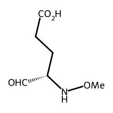 CON[C@H](C=O)CCC(=O)O